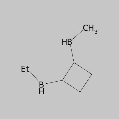 CBC1CCC1BCC